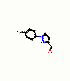 Cc1ccc(-n2ccc(C=O)n2)cc1